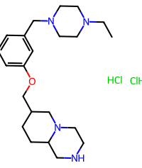 CCN1CCN(Cc2cccc(OCC3CCC4CNCCN4C3)c2)CC1.Cl.Cl